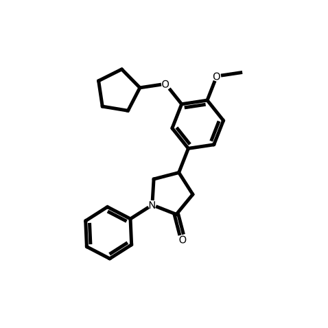 COc1ccc(C2CC(=O)N(c3ccccc3)C2)cc1OC1CCCC1